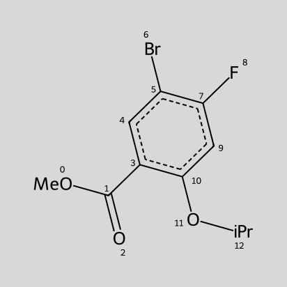 COC(=O)c1cc(Br)c(F)cc1OC(C)C